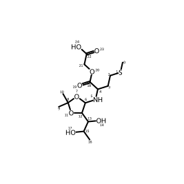 CSCCC(NC1OC(C)(C)OC1C(O)C(C)O)C(=O)OCC(=O)O